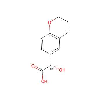 O=C(O)[C@@H](O)c1ccc2c(c1)CCCO2